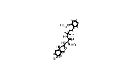 CCC(C)(CCc1ccccc1C(=O)O)NC(=O)N(C=O)NC(=O)Nc1ccc(Br)cc1F